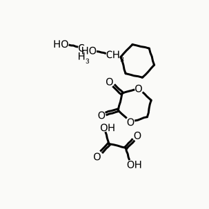 C1CCCCC1.CO.CO.O=C(O)C(=O)O.O=C1OCCOC1=O